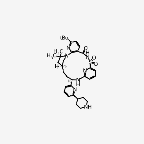 CC(C)(C)c1ccc2c(n1)N1C[C@@H](CC[C@H](c3cccc(C4CCNCC4)n3)Nc3cccc(n3)S(=O)(=O)NC2=O)CC1(C)C